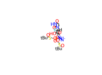 CC(C)(C)C(=O)SCCOP(=O)(OCCSC(=O)C(C)(C)C)OC[C@@]1(CN=[N+]=[N-])O[C@H]2C(n3ccc(=O)[nH]c3=O)[C@]2(F)[C@@H]1O